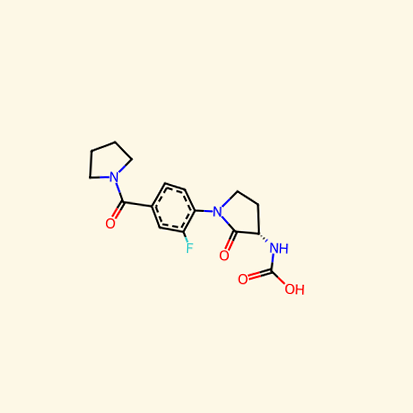 O=C(O)N[C@H]1CCN(c2ccc(C(=O)N3CCCC3)cc2F)C1=O